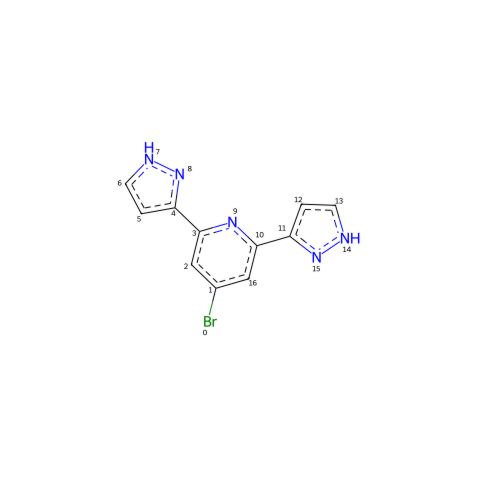 Brc1cc(-c2cc[nH]n2)nc(-c2cc[nH]n2)c1